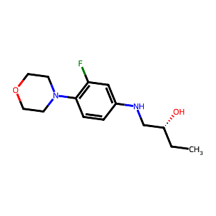 CC[C@@H](O)CNc1ccc(N2CCOCC2)c(F)c1